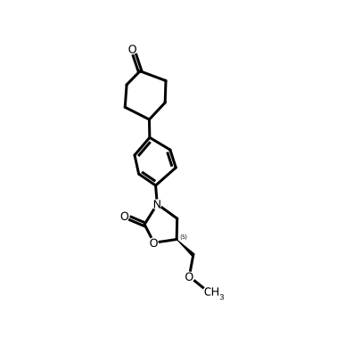 COC[C@@H]1CN(c2ccc(C3CCC(=O)CC3)cc2)C(=O)O1